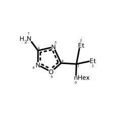 CCCCCCC(CC)(CC)c1nc(N)no1